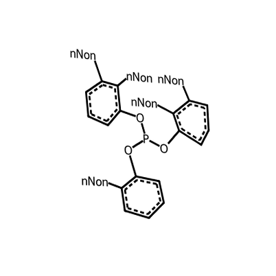 CCCCCCCCCc1ccccc1OP(Oc1cccc(CCCCCCCCC)c1CCCCCCCCC)Oc1cccc(CCCCCCCCC)c1CCCCCCCCC